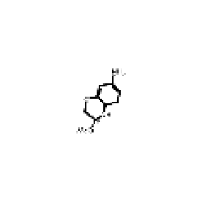 CO[C@H]1COC2=CC(N)=CCC2N1